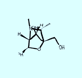 [3H][C@@H]1O[C@]2(CO)[C@@H](O)[C@H]1N(C)[C@@H]2C